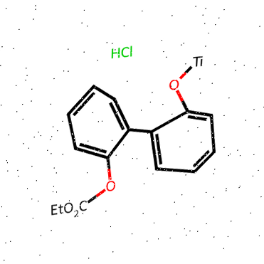 CCOC(=O)Oc1ccccc1-c1ccccc1[O][Ti].Cl